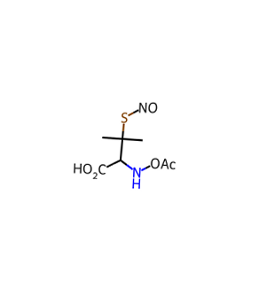 CC(=O)ONC(C(=O)O)C(C)(C)SN=O